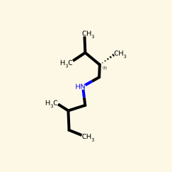 CCC(C)CNC[C@@H](C)C(C)C